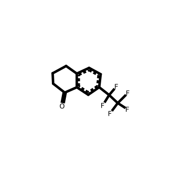 O=C1CCCc2ccc(C(F)(F)C(F)(F)F)cc21